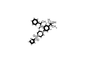 CC(NC[C@H]1CN(S(=O)(=O)c2cccs2)CCN1c1ccc(C(C)(C)O)cc1)c1ccccc1